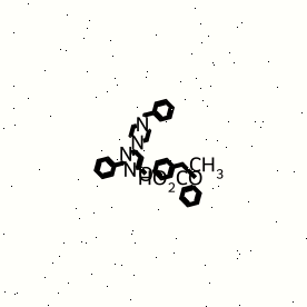 CC(Cc1ccc(Oc2cc(N3CCN(Cc4ccccc4)CC3)nc(-c3ccccc3)n2)cc1)(Oc1ccccc1)C(=O)O